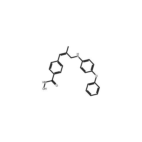 CC(=Cc1ccc(C(=O)NO)cc1)CNc1ccc(Oc2ccccc2)cc1